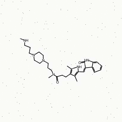 CNCCCN1CCN(CCCN(C)C(=O)CCc2c(C)[nH]c(C=C3C(=O)Nc4ccccc43)c2C)CC1